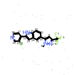 Cn1nc(C(F)(F)F)cc1-c1ccc2[nH]c(-c3ccncc3F)cc2c1